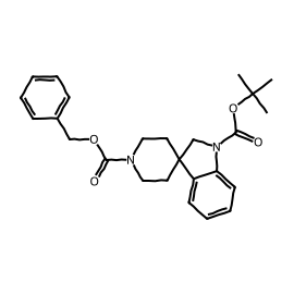 CC(C)(C)OC(=O)N1CC2(CCN(C(=O)OCc3ccccc3)CC2)c2ccccc21